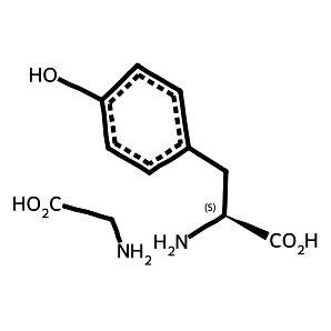 NCC(=O)O.N[C@@H](Cc1ccc(O)cc1)C(=O)O